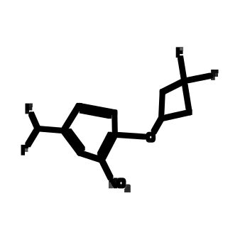 O=[N+]([O-])c1cc(C(F)F)ccc1OC1CC(F)(F)C1